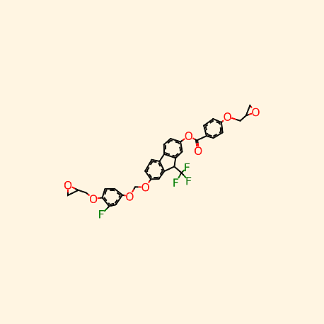 O=C(Oc1ccc2c(c1)C(C(F)(F)F)c1cc(OCOc3ccc(OCC4CO4)c(F)c3)ccc1-2)c1ccc(OCC2CO2)cc1